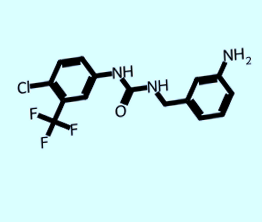 Nc1cccc(CNC(=O)Nc2ccc(Cl)c(C(F)(F)F)c2)c1